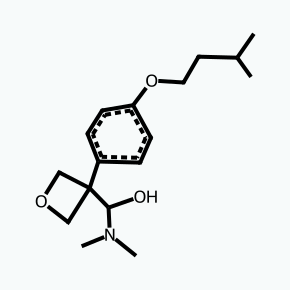 CC(C)CCOc1ccc(C2(C(O)N(C)C)COC2)cc1